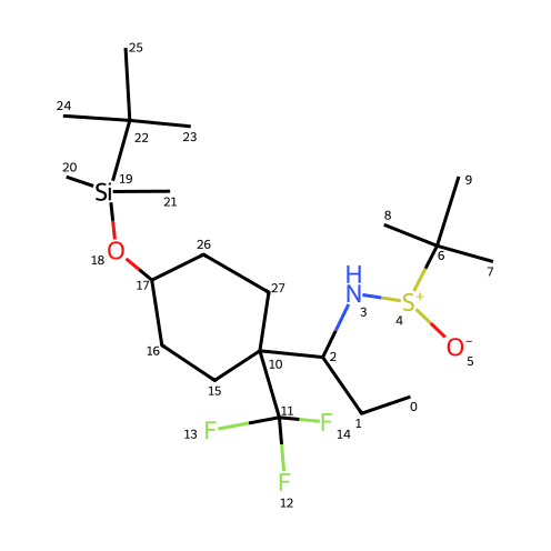 CCC(N[S+]([O-])C(C)(C)C)C1(C(F)(F)F)CCC(O[Si](C)(C)C(C)(C)C)CC1